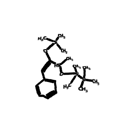 C[SiH](O[Si](C)(C)[Si](C)(C)C)C(=Cc1ccccc1)O[Si](C)(C)C